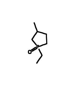 CCP1(=O)CCC(C)C1